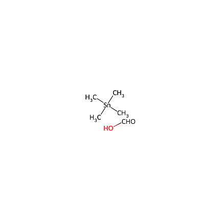 O=CO.[CH3][Sn]([CH3])([CH3])[CH3]